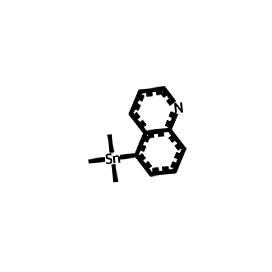 [CH3][Sn]([CH3])([CH3])[c]1cccc2ncccc12